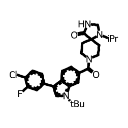 CC(C)N1CNC(=O)C12CCN(C(=O)c1ccc3c(-c4ccc(Cl)c(F)c4)cn(C(C)(C)C)c3c1)CC2